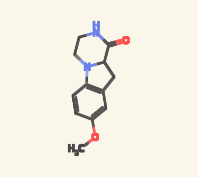 COc1ccc2c(c1)CC1C(=O)NCCN21